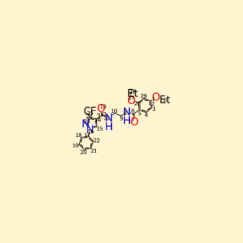 CCOc1ccc(C(=O)NCCNC(=O)c2cn(-c3ccccc3)nc2C(F)(F)F)c(OCC)c1